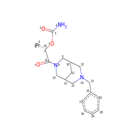 CC(C)[C@H](OC(N)=O)C(=O)N1CC2CC(CN(Cc3ccccc3)C2)C1